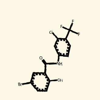 O=C(Nc1ccc(C(F)(F)F)c(Cl)c1)c1cc(Br)ccc1O